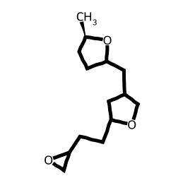 C[C@@H]1CCC(CC2COC(CCC3CO3)C2)O1